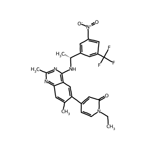 CCn1ccc(-c2cc3c(N[C@H](C)c4cc([N+](=O)[O-])cc(C(F)(F)F)c4)nc(C)nc3cc2C)cc1=O